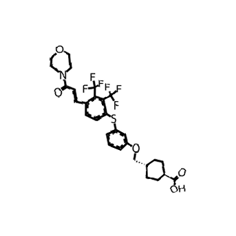 O=C(C=Cc1ccc(Sc2cccc(OC[C@H]3CC[C@H](C(=O)O)CC3)c2)c(C(F)(F)F)c1C(F)(F)F)N1CCOCC1